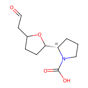 O=CCC1CCC([C@@H]2CCCN2C(=O)O)O1